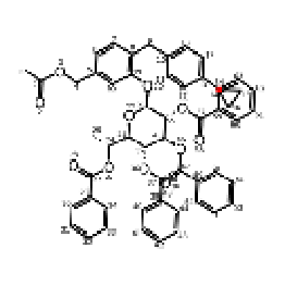 CC(=O)OCc1ccc(Cc2ccc(C3CC3)cc2)c(O[C@@H]2O[C@H]([C@@H](C)OC(=O)c3ccccc3)[C@@H](OC(=O)c3ccccc3)[C@H](OC(=O)c3ccccc3)[C@H]2OC(=O)c2ccccc2)c1